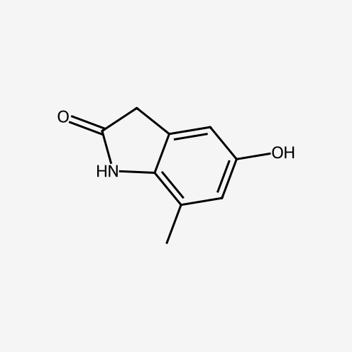 Cc1cc(O)cc2c1NC(=O)C2